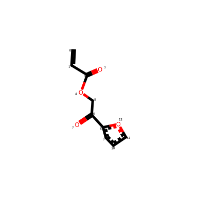 C=CC(=O)OCC(=O)c1ccco1